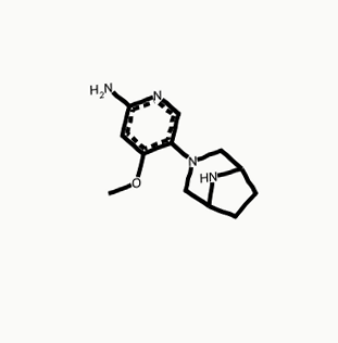 COc1cc(N)ncc1N1CC2CCC(C1)N2